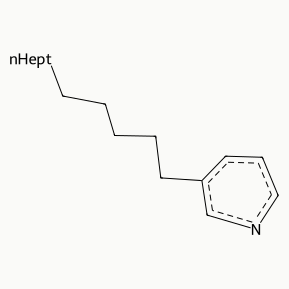 CCCCCCCCCCCCc1cccnc1